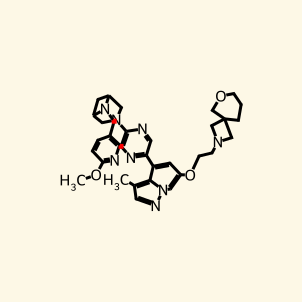 COc1ccc(CN2C3CC2CN(c2cnc(-c4cc(OCCN5CC6(CCCOC6)C5)cn5ncc(C)c45)cn2)C3)cn1